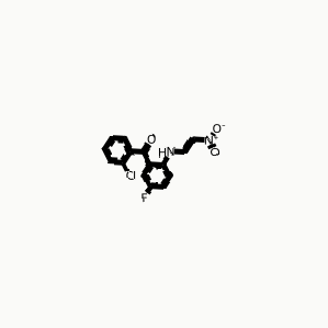 O=C(c1ccccc1Cl)c1cc(F)ccc1NC=C[N+](=O)[O-]